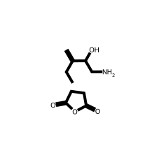 C=C(CC)C(O)CN.O=C1CCC(=O)O1